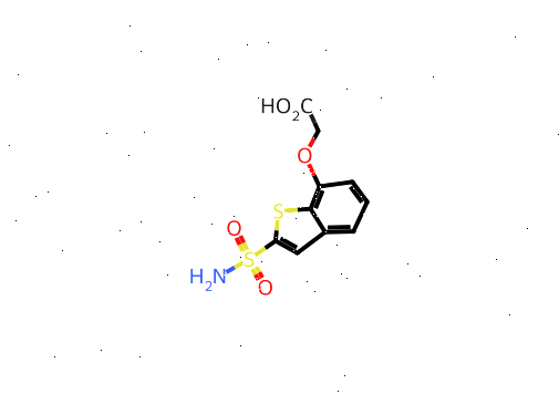 NS(=O)(=O)c1cc2cccc(OCC(=O)O)c2s1